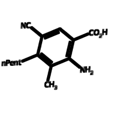 CCCCCc1c(C#N)cc(C(=O)O)c(N)c1C